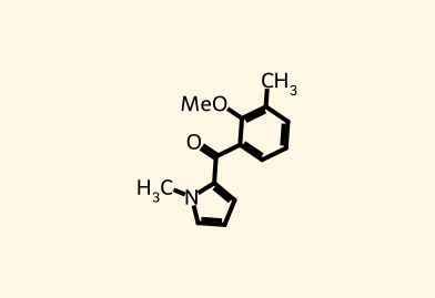 COc1c(C)cccc1C(=O)c1cccn1C